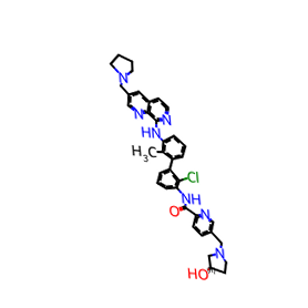 Cc1c(Nc2nccc3cc(CN4CCCC4)cnc23)cccc1-c1cccc(NC(=O)c2ccc(CN3CC[C@@H](O)C3)cn2)c1Cl